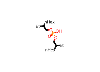 CCCCCCC(CC)COP(=O)(O)OCC(CC)CCCCCC